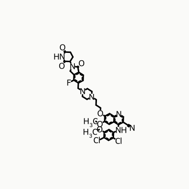 COc1cc(Nc2c(C#N)cnc3cc(OCCCN4CCN(Cc5ccc6c(c5F)CN(C5CCC(=O)NC5=O)C6=O)CC4)c(OC)cc23)c(Cl)cc1Cl